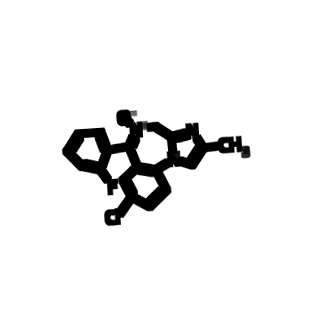 Cc1cn2c(n1)C[N+]([O-])=C(c1ccccc1F)c1cc(Cl)ccc1-2